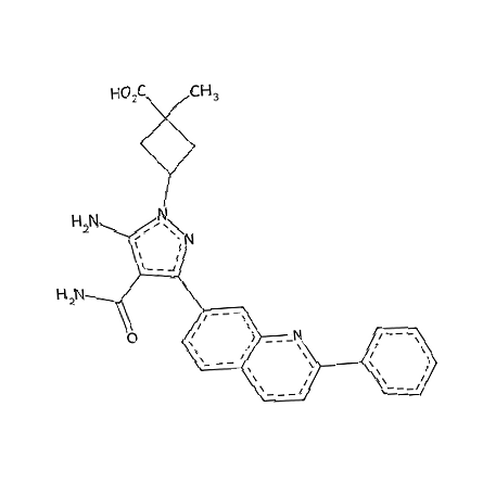 CC1(C(=O)O)CC(n2nc(-c3ccc4ccc(-c5ccccc5)nc4c3)c(C(N)=O)c2N)C1